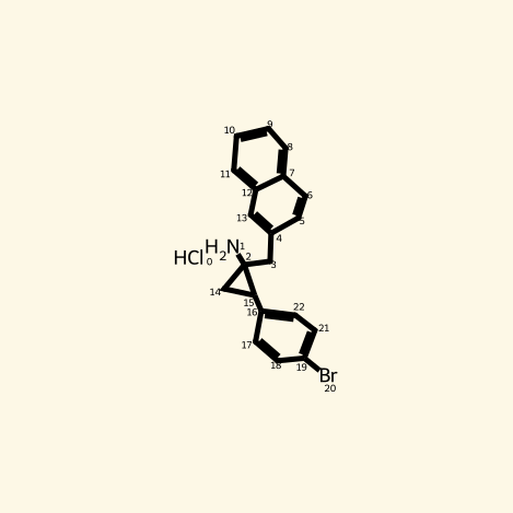 Cl.NC1(Cc2ccc3ccccc3c2)CC1c1ccc(Br)cc1